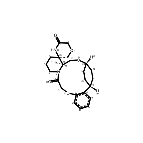 O=C1COC[C@]2(CCCN3C(=O)COc4ccccc4[C@H]4CC[C@H](CC4)OC[C@@H]32)N1